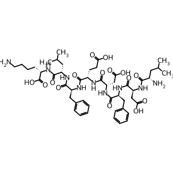 CC(C)C[C@H](NC(=O)[C@H](Cc1ccccc1)NC(=O)[C@H](CCC(=O)O)NC(=O)[C@H](CC(=O)O)NC(=O)[C@H](Cc1ccccc1)NC(=O)[C@H](CC(=O)O)NC(=O)[C@@H](N)CC(C)C)C(=O)N[C@@H](CCCCN)C(=O)O